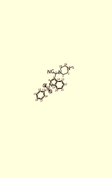 CN1CCN(C(C#N)c2cn(S(=O)(=O)c3ccccc3)c3ccccc23)CC1